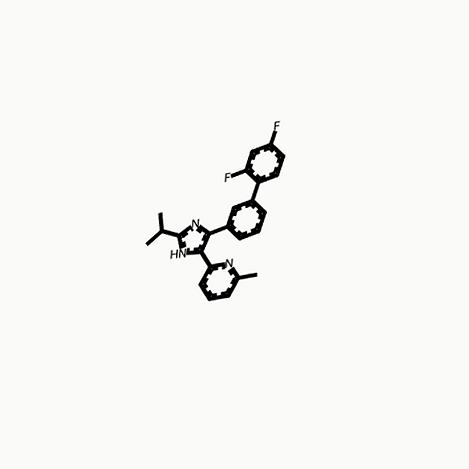 Cc1cccc(-c2[nH]c(C(C)C)nc2-c2cccc(-c3ccc(F)cc3F)c2)n1